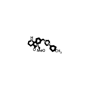 COCn1c(=O)c2c(c3ccc(CN4CCN(c5ccc(C)cc5)CC4)cc31)NCCC2